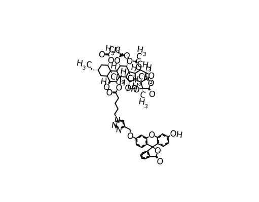 CC[C@@H]1C[C@H](OC(C)=O)[C@]2(C)[C@H]3[C@H](OC(C)=O)[C@H](OC(C)=O)[C@@]4(C)[C@@H]([C@@H](O)[C@@H]5[C@@H]4[C@H](C)[C@H]4O[C@]46OC(=O)[C@@](C)(O)[C@]56C)[C@@H]3[C@@H](OC(=O)CCCCn3cc(COc4ccc5c(c4)Oc4cc(O)ccc4C54OC(=O)c5ccccc54)nn3)C(=O)[C@H]2C1